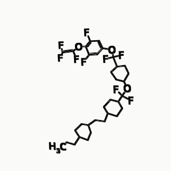 CCCC1CCC(CCC2CCC(C(F)(F)OC3CCC(C(F)(F)Oc4cc(F)c(OC(F)=C(F)F)c(F)c4)CC3)CC2)CC1